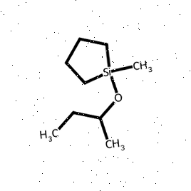 CCC(C)O[Si]1(C)CCCC1